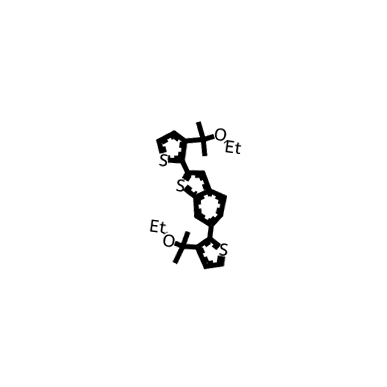 CCOC(C)(C)c1ccsc1-c1ccc2cc(-c3sccc3C(C)(C)OCC)sc2c1